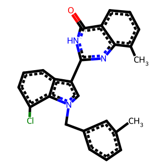 Cc1cccc(Cn2cc(-c3nc4c(C)cccc4c(=O)[nH]3)c3cccc(Cl)c32)c1